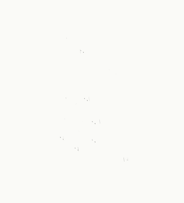 COc1cc(NC(=O)c2sc3ncnc4c3c2NC(=O)N4c2cccc(Br)c2)ccc1CN1CCOCC1